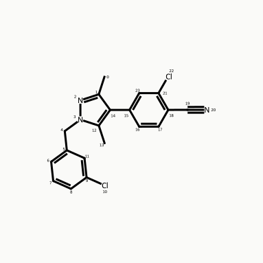 Cc1nn(Cc2cccc(Cl)c2)c(C)c1-c1ccc(C#N)c(Cl)c1